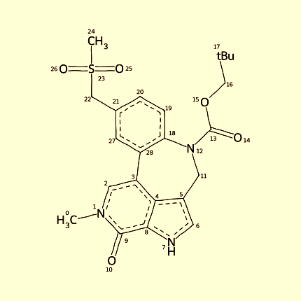 Cn1cc2c3c(c[nH]c3c1=O)CN(C(=O)OCC(C)(C)C)c1ccc(CS(C)(=O)=O)cc1-2